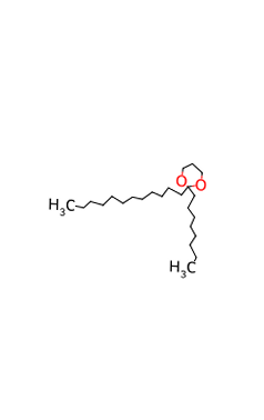 CCCCCCCCCCCCC1(CCCCCCCC)OCCCO1